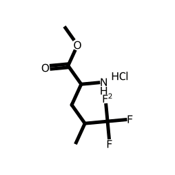 COC(=O)C(N)CC(C)C(F)(F)F.Cl